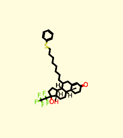 C[C@]12CCC(=O)C=C1CC(CCCCCCCCSc1ccccc1)[C@@H]1[C@H]2CC[C@@]2(C)[C@H]1CCC2(O)C(F)(F)C(F)(F)F